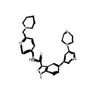 O=C(Nc1ccc(CN2CCCCC2)nc1)c1n[nH]c2ccc(-c3cncc(N4CCOCC4)c3)cc12